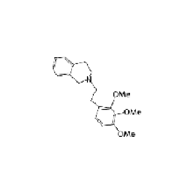 COc1ccc(CCN2CCc3ccccc3C2)c(OC)c1OC